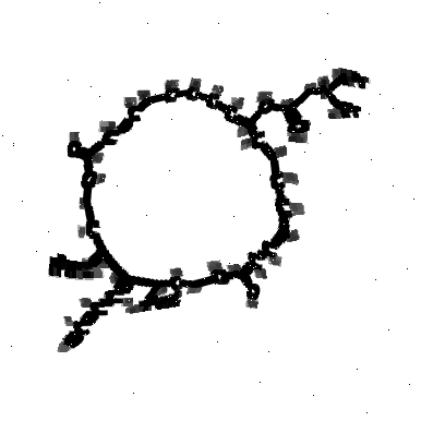 C=C=C=C=C1C(CCCCC)CCOC(=O)CCCCCCCC(OC(=O)CN(C(C)C)C(C)C)CCCCCCCC(=O)OCCC1CCCCC